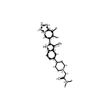 Cc1c(-c2[nH]c3ccc(C4CCN(CC(=O)N(C)C)CC4)cc3c2C(C)C)cn2nnnc2c1C